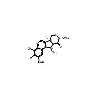 COc1cc2c3c(cnc2c(Cl)c1Cl)[C@H]1CO[C@H](OC)C(=O)N1[C@H]3C